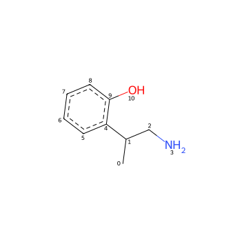 CC(CN)c1ccccc1O